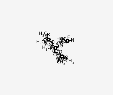 CC(=O)Oc1ccc(C(=O)NCC(C)Oc2c(OC(C)CNC(=O)c3ccc(OC(C)=O)c(OC(C)=O)c3)c(F)c3sc(S(=O)(=O)NCP(=O)(O)Oc4ccc(C#N)c(F)c4)cc3c2F)cc1OC(C)=O